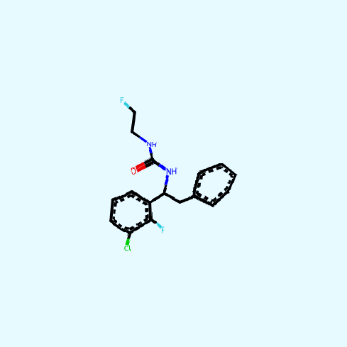 O=C(NCCF)NC(Cc1ccccc1)c1cccc(Cl)c1F